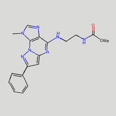 COC(=O)NCCNc1nc2cc(-c3ccccc3)nn2c2c1ncn2C